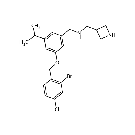 CC(C)c1cc(CNCC2CNC2)cc(OCc2ccc(Cl)cc2Br)c1